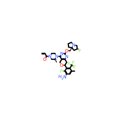 C=CC(=O)N1CCN(c2nc(OC[C@@]34CCCN3C[C@H](F)C4)nc3c2COC(c2c(F)c(N)cc(C)c2C(F)(F)F)C3)[C@@H](C)C1